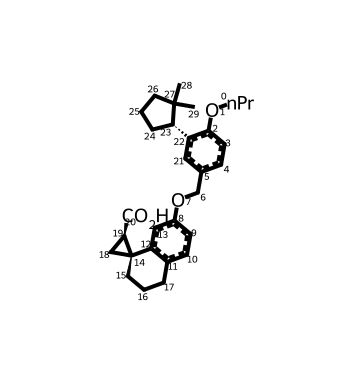 CCCOc1ccc(COc2ccc3c(c2)[C@]2(CCC3)C[C@H]2C(=O)O)cc1[C@@H]1CCCC1(C)C